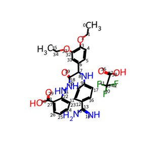 CCOc1ccc(C(Nc2ccc(C(=N)N)cc2)C(=O)NNc2ccccc2C(=O)O)cc1OCC.O=C(O)C(F)(F)F